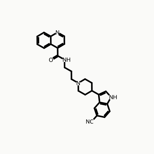 N#Cc1ccc2[nH]cc(C3CCN(CCCNC(=O)c4ccnc5ccccc45)CC3)c2c1